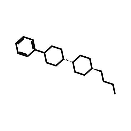 CCCC[C@H]1CC[C@H](C2CCC(c3ccccc3)CC2)CC1